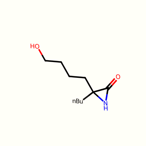 CCCCC1(CCCCO)NC1=O